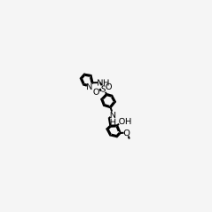 COc1cccc(CNc2ccc(S(=O)(=O)Nc3ccccn3)cc2)c1O